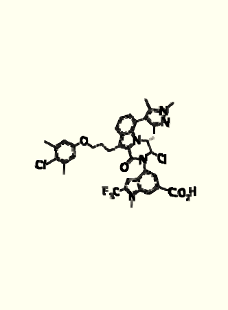 Cc1cc(OCCCc2c3n(c4c(-c5c(C)nn(C)c5C)cccc24)[C@H](C)C(Cl)N(c2cc(C(=O)O)cc4c2cc(C(F)(F)F)n4C)C3=O)cc(C)c1Cl